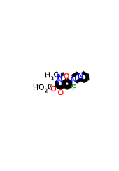 CN1COc2c(N3CCN4CCCCC4C3)c(F)cc3c(=O)c(OC(=O)O)cn1c23